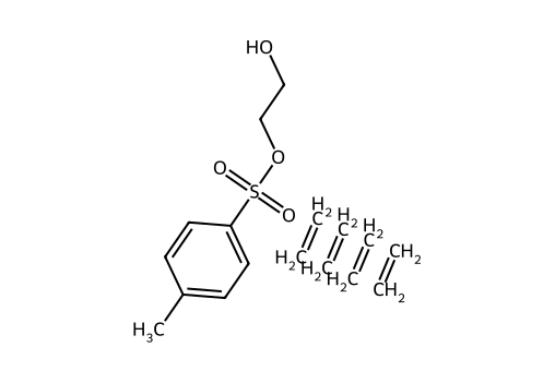 C=C.C=C.C=C.C=C.Cc1ccc(S(=O)(=O)OCCO)cc1